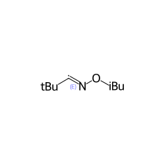 CCC(C)O/N=[C]/C(C)(C)C